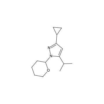 CC(C)c1cc(C2CC2)nn1C1CCCCO1